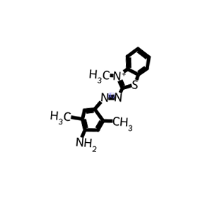 Cc1cc(/N=N/c2sc3ccccc3[n+]2C)c(C)cc1N